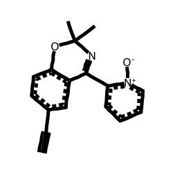 C#Cc1ccc2c(c1)C(c1cccc[n+]1[O-])=NC(C)(C)O2